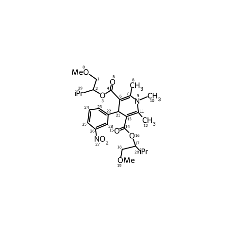 COCC(OC(=O)C1=C(C)N(C)C(C)=C(C(=O)OC(COC)C(C)C)C1c1cccc([N+](=O)[O-])c1)C(C)C